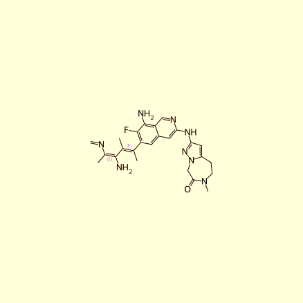 C=N/C(C)=C(N)\C(C)=C(/C)c1cc2cc(Nc3cc4n(n3)CC(=O)N(C)CC4)ncc2c(N)c1F